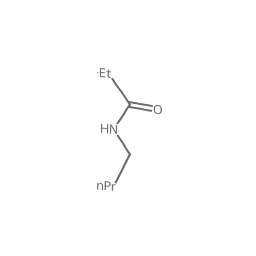 C[CH]C(=O)NCCCC